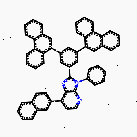 c1ccc(-n2c(-c3cc(-c4cc5ccccc5c5ccccc45)cc(-c4cc5ccccc5c5ccccc45)c3)nc3c(-c4ccc5ccccc5c4)ccnc32)cc1